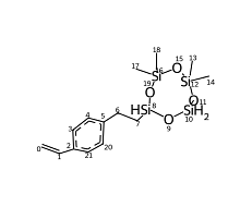 C=Cc1ccc(CC[SiH]2O[SiH2]O[Si](C)(C)O[Si](C)(C)O2)cc1